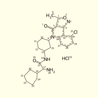 Cc1onc2c1c(=O)n(C1CCCC(NC(=O)C(N)C3CCCCC3)C1)c1cccc(Cl)c21.Cl